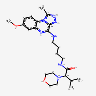 COc1ccc2c(c1)nc(NCCCCNC(=O)C(C(C)C)N1CCOCC1)c1nnc(C)n12